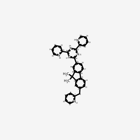 CC1(C)c2cc(Cc3ccccn3)ccc2-c2ccc(-c3nc(-c4ccccn4)nc(-c4ccccn4)n3)cc21